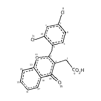 O=C(O)Cc1c(-c2ccc(Cl)cc2Cl)oc2ccccc2c1=O